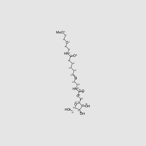 COCCOCCNC(=O)CCCC/C=N/CCNC(=O)OC[C@@H]1O[C@@H](CO)C(O)[C@@H]1O